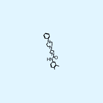 Cc1ccc(NC(=O)N2CC(N3CCN(c4ccccc4)CC3)C2)cc1C